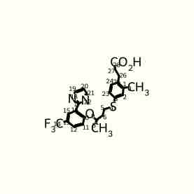 Cc1cc(SCCC(C)Oc2ccc(C(F)(F)F)cc2-c2ncccn2)ccc1CCC(=O)O